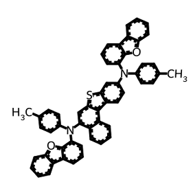 Cc1ccc(N(c2ccc3c(c2)sc2cc(N(c4ccc(C)cc4)c4cccc5c4oc4ccccc45)c4ccccc4c23)c2cccc3c2oc2ccccc23)cc1